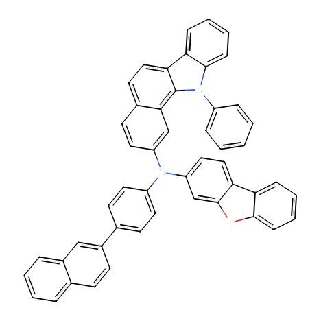 c1ccc(-n2c3ccccc3c3ccc4ccc(N(c5ccc(-c6ccc7ccccc7c6)cc5)c5ccc6c(c5)oc5ccccc56)cc4c32)cc1